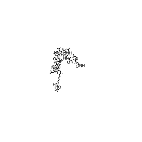 CC[C@H](NC(=O)C(C[C@H](C)CCCCCCNC(=O)OC(C)(C)C)N(C)C(=O)CC(C)C)C(=O)N(C)[C@H](C(=O)OC)C(=O)N(C)[C@@H](CC(C)C)C(=O)N[C@H](C(=O)N(C)[C@@H](CC(C)C)C(=O)N[C@H](C)C(=O)NC(C)C(=O)N(C)[C@@H](CC(C)C)C(=O)N(C)CC(=O)NC)C(C)C